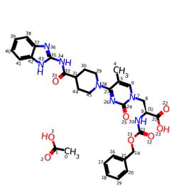 CC(=O)O.Cc1cn(C[C@H](NC(=O)OCc2ccccc2)C(=O)O)c(=O)nc1N1CCC(C(=O)Nc2nc3ccccc3[nH]2)CC1